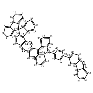 C1=C2C(=CCC1)C1(c3ccccc32)c2ccccc2-c2c1ccc1c2Oc2c(cccc2-c2ccccc2N(c2ccccc2)c2ccc(-c3ccc4oc5ccccc5c4c3)cc2)O1